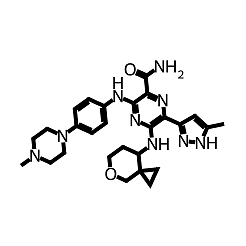 Cc1cc(-c2nc(C(N)=O)c(Nc3ccc(N4CCN(C)CC4)cc3)nc2NC2CCOCC23CC3)n[nH]1